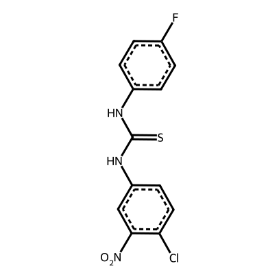 O=[N+]([O-])c1cc(NC(=S)Nc2ccc(F)cc2)ccc1Cl